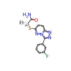 CC[C@@H](Sc1ccc2nnc(-c3cccc(F)c3)n2n1)C(N)=O